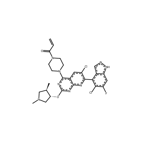 C=CC(=O)N1CCN(c2nc(O[C@@H]3CN(C)C[C@H]3C)nc3nc(-c4c(Cl)c(F)cc5[nH]ncc45)c(Cl)cc23)CC1